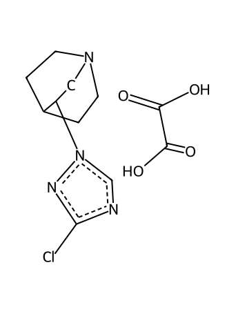 Clc1ncn(C2CN3CCC2CC3)n1.O=C(O)C(=O)O